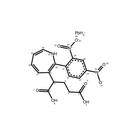 O=C(O)CCC(C(=O)O)C1=C(c2ccc([N+](=O)[O-])cc2[N+](=O)[O-])NC=CC=C1.[PbH2]